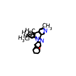 C/C=C\C(=C/C(C)C)n1c(-c2cnc(C)cc2C(C)CC)nc2cc3c(cc21)C1CCC3CC1